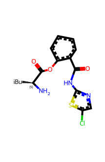 CCC(C)[C@H](N)C(=O)Oc1ccccc1C(=O)Nc1ncc(Cl)s1